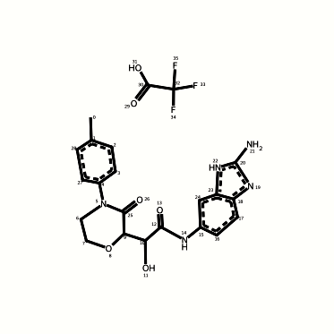 Cc1ccc(N2CCOC(C(O)C(=O)Nc3ccc4nc(N)[nH]c4c3)C2=O)cc1.O=C(O)C(F)(F)F